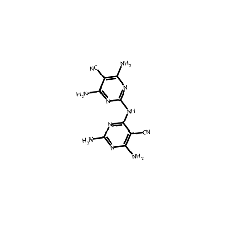 N#Cc1c(N)nc(Nc2nc(N)nc(N)c2C#N)nc1N